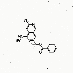 CC(C)Nc1nc([C@@H](C)OC(=O)c2ccccc2)cc2cnc(Cl)cc12